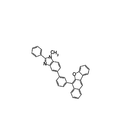 Cn1c(-c2ccccc2)nc2cc(-c3cccc(-c4c5ccccc5cc5c4oc4ccccc45)c3)ccc21